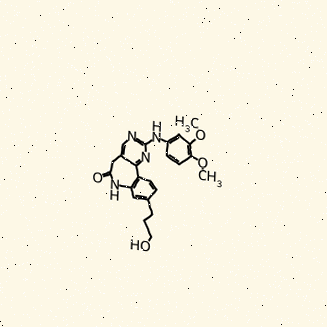 COc1ccc(Nc2ncc3c(n2)-c2ccc(CCCO)cc2NC(=O)C3)cc1OC